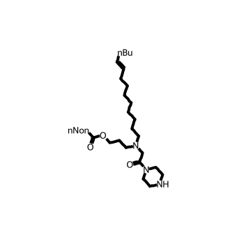 CCCCC=CCCCCCCCCN(CCCOC(=O)CCCCCCCCC)CC(=O)N1CCNCC1